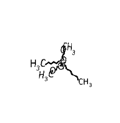 CCCCCCC[Si](CCCCCCC)(OCCOC)OCCOC